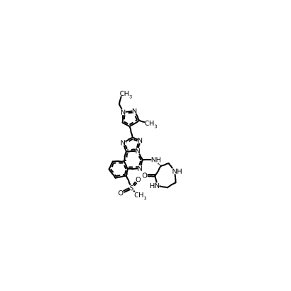 CCn1cc(-c2nc3c4cccc(S(C)(=O)=O)c4nc(N[C@@H]4CNCCNC4=O)n3n2)c(C)n1